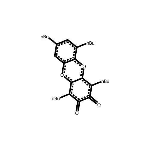 CCCCc1cc(CCCC)c2oc3c(CCCC)c(=O)c(=O)c(CCCC)c-3oc2c1